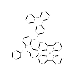 c1ccc(-n2c3ccccc3c3c(N(c4ccc5c(c4)-c4ccccc4C54c5ccccc5-c5ccccc54)c4ccc5c6ccccc6c6ccccc6c5c4)cccc32)cc1